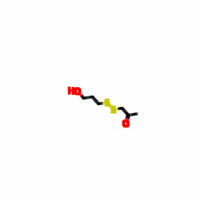 CC(=O)CSSCCCO